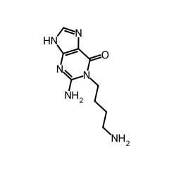 NCCCCn1c(N)nc2[nH]cnc2c1=O